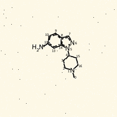 CN1CCC(n2ncc3ccc(N)cc32)CC1